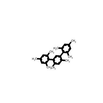 Cc1cc(C)c(-c2[c]c(-c3c(C)cc(C)cc3C)c(C)cc2C)c(C)c1